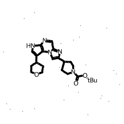 CC(C)(C)OC(=O)N1CCC(c2cn3c(cnc4[nH]cc(C5CCOCC5)c43)n2)CC1